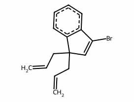 C=CCC1(CC=C)C=C(Br)c2ccccc21